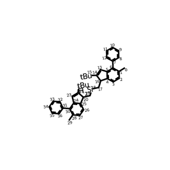 Cc1ccc2c(c1-c1ccccc1)C=C(C(C)(C)C)C2C[SiH2]CC1C(C(C)(C)C)=Cc2c1ccc(C)c2-c1ccccc1